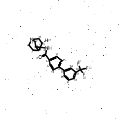 O=C(N[C@@H]1CN2CCC1CC2)c1ccc(-c2cccc(C(F)(F)F)c2)cc1